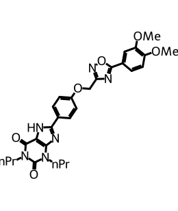 CCCn1c(=O)c2[nH]c(-c3ccc(OCc4noc(-c5ccc(OC)c(OC)c5)n4)cc3)nc2n(CCC)c1=O